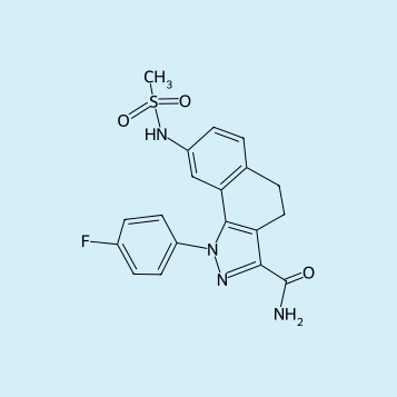 CS(=O)(=O)Nc1ccc2c(c1)-c1c(c(C(N)=O)nn1-c1ccc(F)cc1)CC2